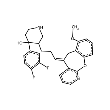 COc1cccc2c1CC(=CCCC1CNCCC1(O)c1ccc(F)c(F)c1)c1cccnc1O2